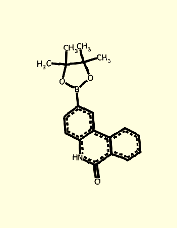 CC1(C)OB(c2ccc3[nH]c(=O)c4ccccc4c3c2)OC1(C)C